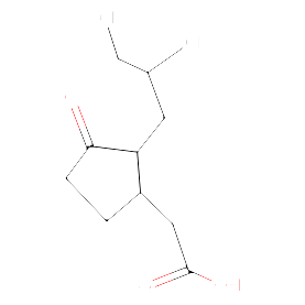 CCC(C)CC1C(=O)CCC1CC(=O)O